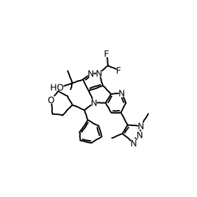 Cc1nnn(C)c1-c1cnc2c3c(c(C(C)(C)O)nn3C(F)F)n(C(c3ccccc3)C3CCOCC3)c2c1